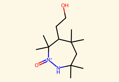 CC1(C)CC(C)(C)C(CCO)C(C)(C)[N+](=O)N1